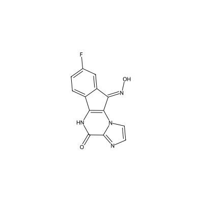 O=c1[nH]c2c(n3ccnc13)/C(=N/O)c1cc(F)ccc1-2